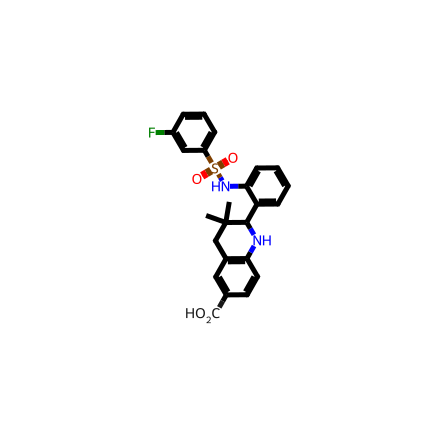 CC1(C)Cc2cc(C(=O)O)ccc2NC1c1ccccc1NS(=O)(=O)c1cccc(F)c1